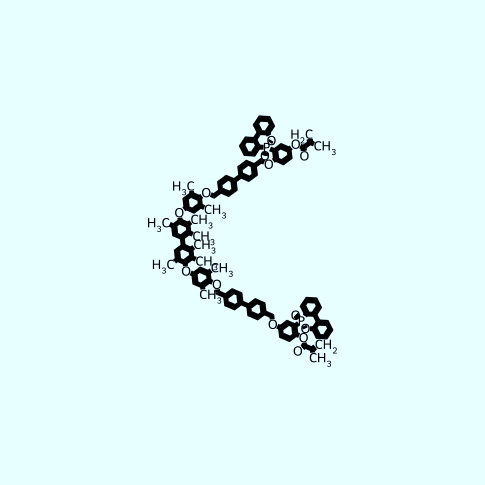 C=C(C)C(=O)Oc1ccc(OCc2ccc(-c3ccc(COc4c(C)cc(Oc5c(C)cc(-c6cc(C)c(Oc7cc(C)c(OCc8ccc(-c9ccc(COc%10ccc(OC(=O)C(=C)C)c(P%11(=O)Oc%12ccccc%12-c%12ccccc%12%11)c%10)cc9)cc8)c(C)c7)c(C)c6C)c(C)c5C)cc4C)cc3)cc2)c(P2(=O)Oc3ccccc3-c3ccccc32)c1